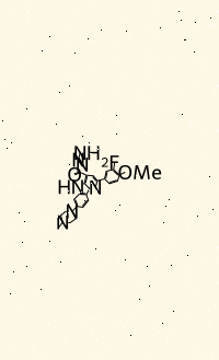 COc1ccc(-c2cc(C(=O)N=NN)c3[nH]c4cc(N5CCN(C)CC5)ccc4c3n2)cc1F